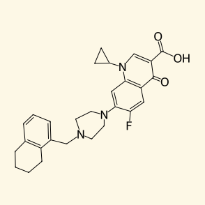 O=C(O)c1cn(C2CC2)c2cc(N3CCN(Cc4cccc5c4CCCC5)CC3)c(F)cc2c1=O